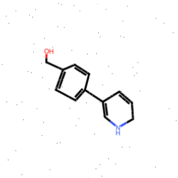 OCc1ccc(C2=CNCC=C2)cc1